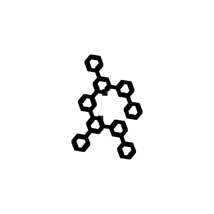 c1ccc(-c2cccc(-c3cc(-c4ccccc4)cc(-c4cccc(-c5cc(-c6ccccc6)cc(-c6cccc(-c7ccccc7)c6)n5)c4)n3)c2)cc1